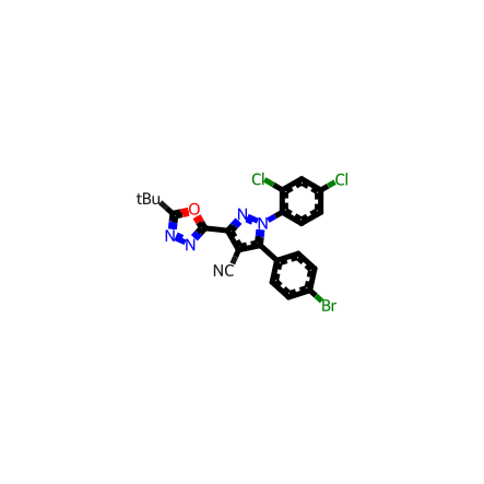 CC(C)(C)c1nnc(-c2nn(-c3ccc(Cl)cc3Cl)c(-c3ccc(Br)cc3)c2C#N)o1